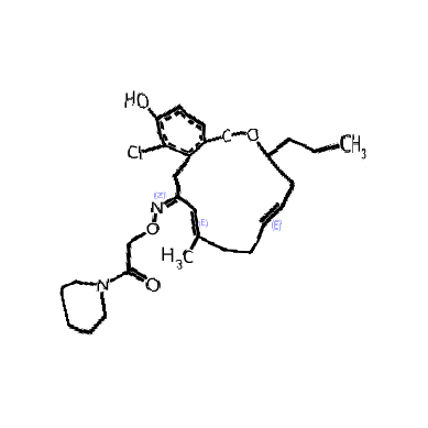 CCCC1C/C=C/CC/C(C)=C/C(=N\OCC(=O)N2CCCCC2)Cc2c(ccc(O)c2Cl)CO1